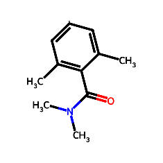 Cc1c[c]cc(C)c1C(=O)N(C)C